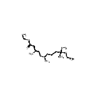 CCOC(=O)/C=C(C)/C=C/C(C)CCCC(C)(C)OCC